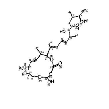 CCC(O)C(C)CC(O)C(O)C(C)/C=C/C=C(\C)C1OC(=O)CC(O)CCC(C)(O)C(OC(C)=O)/C=C/C1C